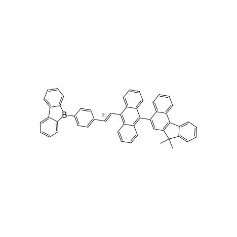 CC1(C)c2ccccc2-c2c1cc(-c1c3ccccc3c(/C=C/c3ccc(B4c5ccccc5-c5ccccc54)cc3)c3ccccc13)c1ccccc21